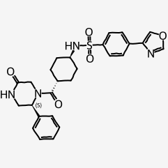 O=C1CN(C(=O)[C@H]2CC[C@H](NS(=O)(=O)c3ccc(-c4cocn4)cc3)CC2)[C@@H](c2ccccc2)CN1